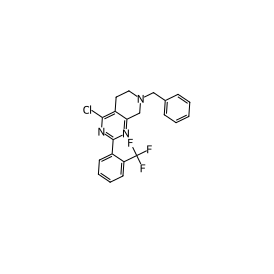 FC(F)(F)c1ccccc1-c1nc(Cl)c2c(n1)CN(Cc1ccccc1)CC2